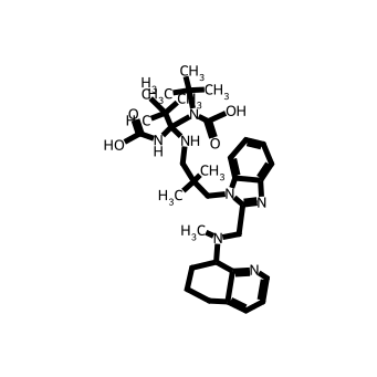 CN(Cc1nc2ccccc2n1CC(C)(C)CNC(NC(=O)O)(N(C(=O)O)C(C)(C)C)C(C)(C)C)C1CCCc2cccnc21